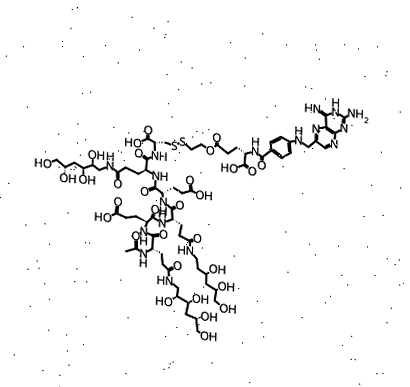 CC(=O)N[C@@H](CCC(=O)NC[C@H](O)[C@@H](O)C[C@H](O)CO)C(=O)N[C@@H](CCC(=O)O)C(=O)N[C@@H](CCC(=O)NCC[C@@H](O)C[C@H](O)CO)C(=O)N[C@@H](CCC(=O)O)C(=O)N[C@@H](CCC(=O)NC[C@H](O)[C@@H](O)C[C@H](O)CO)C(=O)N[C@@H](CSSCCOC(=O)CC[C@H](NC(=O)c1ccc(NCc2cnc3nc(N)[nH]c(=N)c3n2)cc1)C(=O)O)C(=O)O